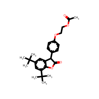 CC(=O)OCCOc1ccc(C2C(=O)Oc3c2cc(C(C)(C)C)cc3C(C)(C)C)cc1